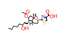 CCCCC[C@H](O)/C=C/[C@@H]1[C@H]2CC[C@H](c3nc(C(=O)O)cs3)O[C@H]2C[C@H]1OC(C)=O